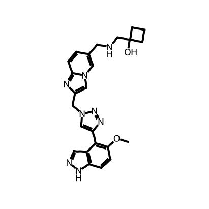 COc1ccc2[nH]ncc2c1-c1cn(Cc2cn3cc(CNCC4(O)CCC4)ccc3n2)nn1